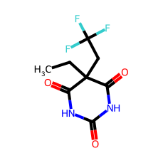 CCC1(CC(F)(F)F)C(=O)NC(=O)NC1=O